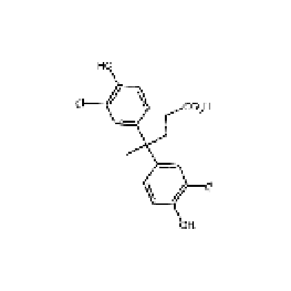 CC(CCC(=O)O)(c1ccc(O)c(Cl)c1)c1ccc(O)c(Cl)c1